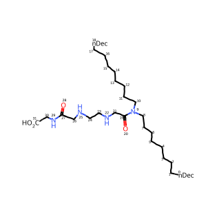 CCCCCCCCCCCCCCCCCCN(CCCCCCCCCCCCCCCCCC)C(=O)CNCCNCC(=O)NCC(=O)O